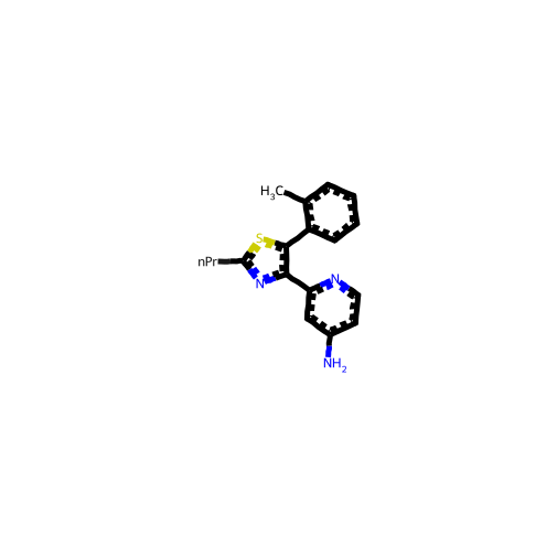 CCCc1nc(-c2cc(N)ccn2)c(-c2ccccc2C)s1